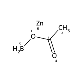 BOC(C)=O.[Zn]